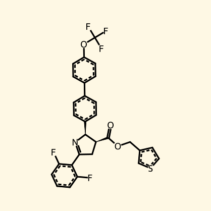 O=C(OCc1ccsc1)[C@H]1CC(c2c(F)cccc2F)=N[C@H]1c1ccc(-c2ccc(OC(F)(F)F)cc2)cc1